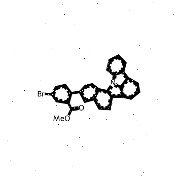 COC(=O)c1cc(Br)ccc1-c1ccc2c(ccc3c4cccc5c6ccccc6n(c23)c54)c1